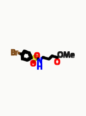 COC(=O)CCCNS(=O)(=O)c1ccc(Br)cc1